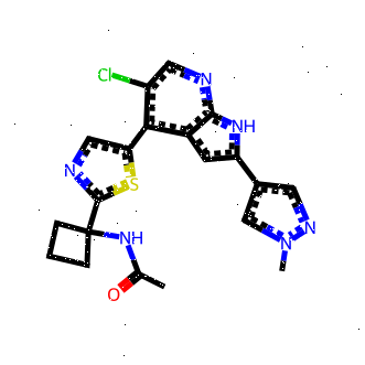 CC(=O)NC1(c2ncc(-c3c(Cl)cnc4[nH]c(-c5cnn(C)c5)cc34)s2)CCC1